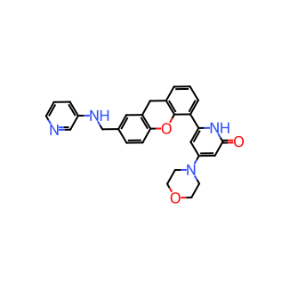 O=c1cc(N2CCOCC2)cc(-c2cccc3c2Oc2ccc(CNc4cccnc4)cc2C3)[nH]1